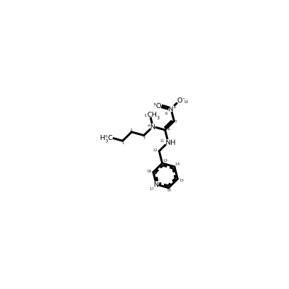 CCCCN(C)/C(=C\[N+](=O)[O-])NCc1cccnc1